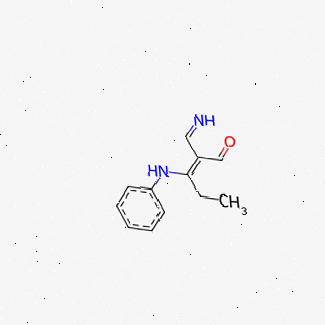 CC/C(Nc1ccccc1)=C(/C=N)C=O